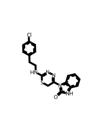 O=c1[nH]c2ccccc2n1C1=NN=C(NCCc2ccc(Cl)cc2)SC1